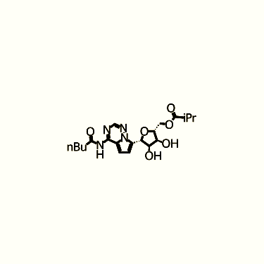 CCCCC(=O)Nc1ncnn2c([C@@H]3O[C@H](COC(=O)C(C)C)[C@@H](O)[C@H]3O)ccc12